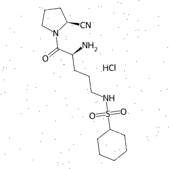 Cl.N#C[C@@H]1CCCN1C(=O)[C@@H](N)CCCNS(=O)(=O)C1CCCCC1